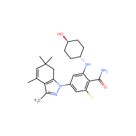 CC1=CC(C)(C)Cc2c1c(C(F)(F)F)nn2-c1cc(F)c(C(N)=O)c(N[C@H]2CC[C@H](O)CC2)c1